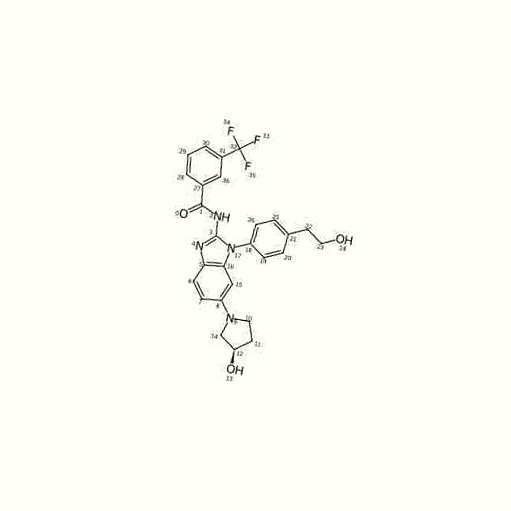 O=C(Nc1nc2ccc(N3CC[C@@H](O)C3)cc2n1-c1ccc(CCO)cc1)c1cccc(C(F)(F)F)c1